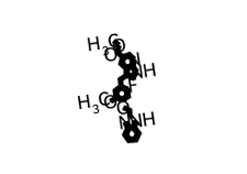 COC(=O)c1cnc2[nH]cc(Cc3cc(OC)c(OCc4nc5ccccc5[nH]4)cc3F)c2c1